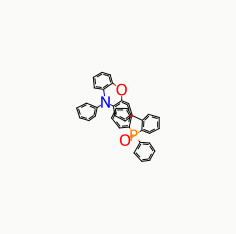 O=P(c1ccccc1)(c1ccccc1)c1ccccc1-c1ccc2c(c1)Oc1ccccc1N2c1ccccc1